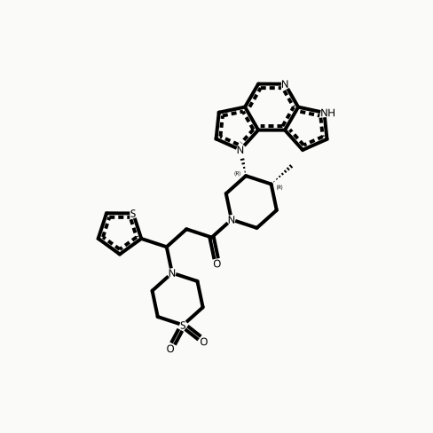 C[C@@H]1CCN(C(=O)CC(c2cccs2)N2CCS(=O)(=O)CC2)C[C@@H]1n1ccc2cnc3[nH]ccc3c21